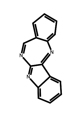 c1ccc2nc3c4ccccc4nc-3ncc2c1